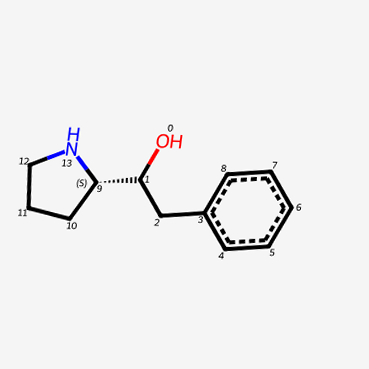 OC(Cc1ccccc1)[C@@H]1CCCN1